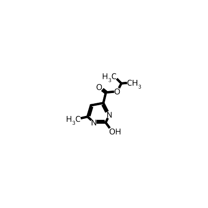 Cc1cc(C(=O)OC(C)C)nc(O)n1